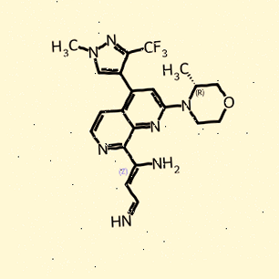 C[C@@H]1COCCN1c1cc(-c2cn(C)nc2C(F)(F)F)c2ccnc(/C(N)=C/C=N)c2n1